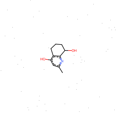 Cc1cc(O)c2c(n1)C(O)CCC2